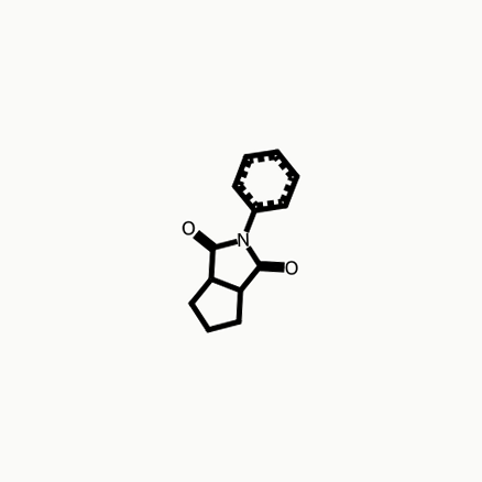 O=C1C2CCCC2C(=O)N1c1ccccc1